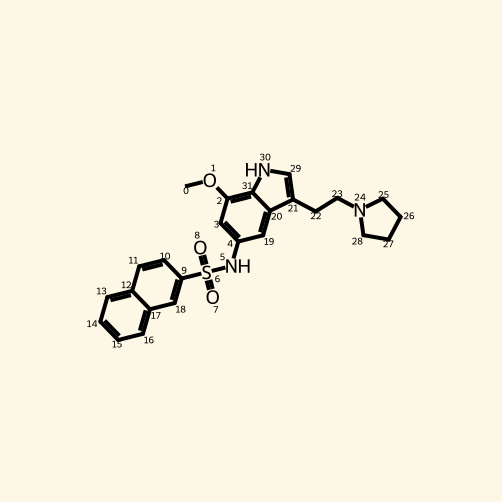 COc1cc(NS(=O)(=O)c2ccc3ccccc3c2)cc2c(CCN3CCCC3)c[nH]c12